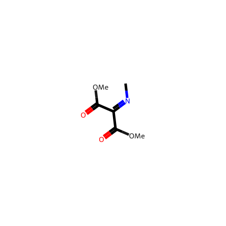 CN=C(C(=O)OC)C(=O)OC